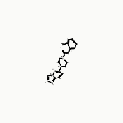 O=C(Cc1ccccc1Cl)N1CCN(c2ccc3nncn3n2)CC1